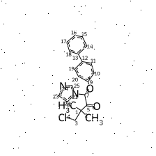 CC(C)(CCl)C(=O)C(Oc1ccc(-c2ccccc2)cc1)n1ccnc1